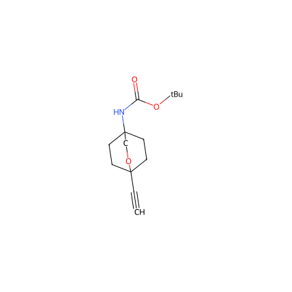 C#CC12CCC(NC(=O)OC(C)(C)C)(CC1)CO2